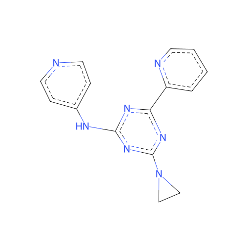 c1ccc(-c2nc(Nc3ccncc3)nc(N3CC3)n2)nc1